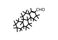 CC1=C(C=O)C(C)(C)C(C)(C)C2(C)C1(C)C(C)(C)C(C)(C)C1(C)C3(C)C(C)(C)C(C)(C)C(C)(C)C(C)(C)C3(C)C(C)(C)C(C)(C)C21C